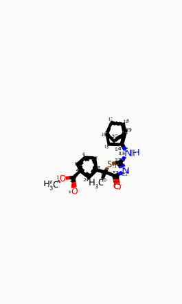 COC(=O)c1cccc(C2(C)SC(NC3CC4CCC3C4)=NC2=O)c1